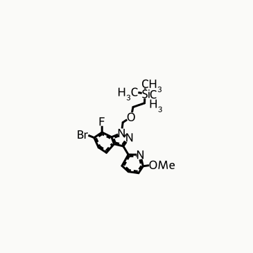 COc1cccc(-c2nn(COCC[Si](C)(C)C)c3c(F)c(Br)ccc23)n1